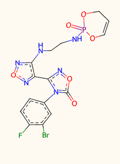 O=c1onc(-c2nonc2NCCNP2(=O)OC=CCO2)n1-c1ccc(F)c(Br)c1